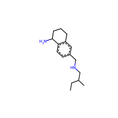 CCC(C)CNCc1ccc2c(c1)CCCC2N